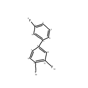 Fc1cc[c]c(-c2ccc(F)c(F)c2)c1